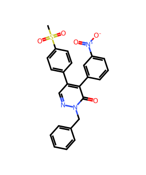 CS(=O)(=O)c1ccc(-c2cnn(Cc3ccccc3)c(=O)c2-c2cccc([N+](=O)[O-])c2)cc1